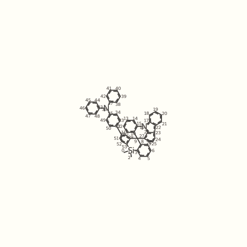 C[Si]1(C)c2ccccc2C2(c3ccccc3-n3c4ccccc4c4cccc2c43)c2cc(-c3ccc(N(c4ccccc4)c4ccccc4)cc3)ccc21